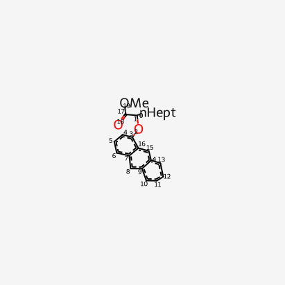 CCCCCCCC(Oc1cccc2cc3ccccc3cc12)C(=O)OC